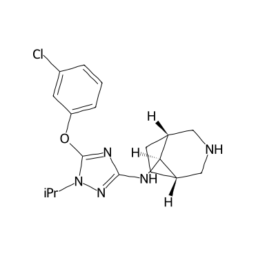 CC(C)n1nc(N[C@H]2[C@@H]3CC[C@H]2CNC3)nc1Oc1cccc(Cl)c1